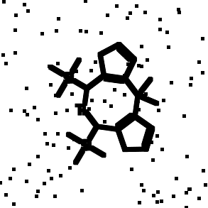 CC1(C)C2=C(CC=C2)[CH]([Si](C)(C)C)[Ti][CH]([Si](C)(C)C)C2=C1C=CC2